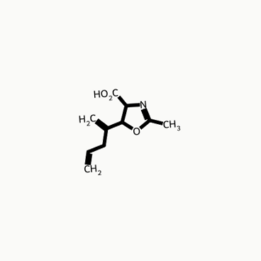 C=CCC(=C)C1OC(C)=NC1C(=O)O